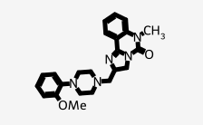 COc1ccccc1N1CCN(CC2CN3C(=O)N(C)c4ccccc4C3=N2)CC1